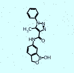 Cc1c(C(=O)Nc2ccc3c(c2)B(O)OC3)nnn1-c1ccccc1